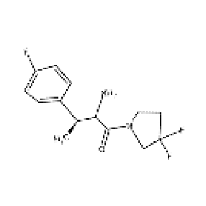 C[C@@H](c1ccc(F)cc1)C(N)C(=O)N1CCC(F)(F)C1